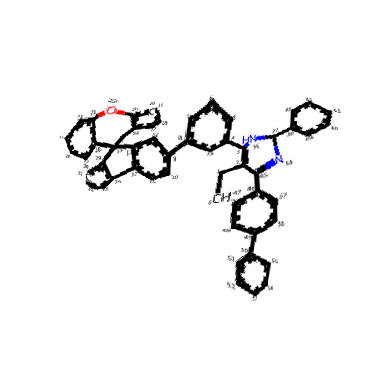 CCC1=C(c2cccc(-c3ccc4c(c3)C3(c5ccccc5Oc5ccccc53)c3ccccc3-4)c2)NC(c2ccccc2)N=C1c1ccc(-c2ccccc2)cc1